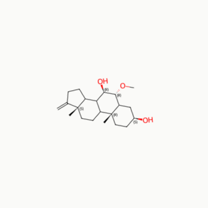 C=C1CCC2C3C(CC[C@]12C)[C@@]1(C)CC[C@H](O)CC1[C@@H](OC)[C@@H]3O